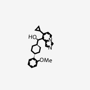 COc1ccccc1[C@H]1CC[C@H]([C@@H](O)c2c(C3CC3)ccn3cncc23)CC1